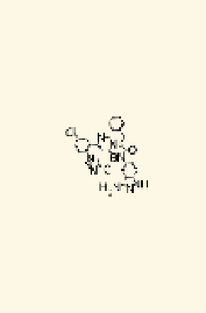 Nc1n[nH]c2ccc(NC(=O)[C@H](Cc3ccccc3)n3cnc(-c4cc(Cl)ccc4-n4cc(Cl)nn4)cc3=O)cc12